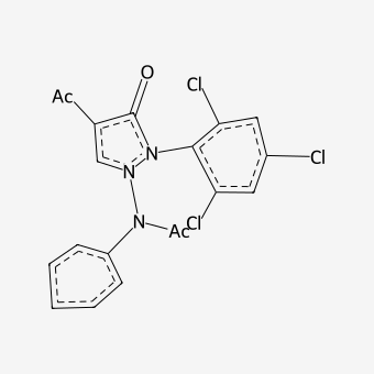 CC(=O)c1cn(N(C(C)=O)c2ccccc2)n(-c2c(Cl)cc(Cl)cc2Cl)c1=O